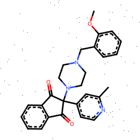 COc1ccccc1CN1CCN(C2(c3ccnc(C)c3)C(=O)c3ccccc3C2=O)CC1